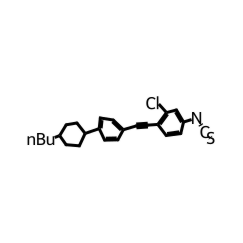 CCCCC1CCC(c2ccc(C#Cc3ccc(N=C=S)cc3Cl)cc2)CC1